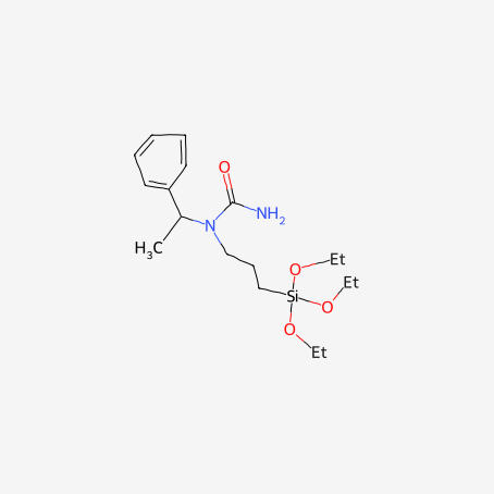 CCO[Si](CCCN(C(N)=O)C(C)c1ccccc1)(OCC)OCC